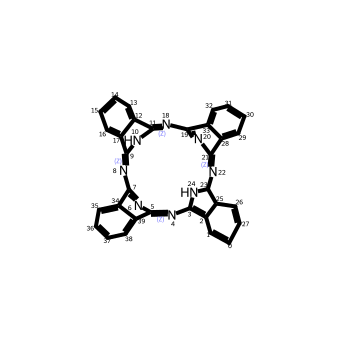 C1=CC2=C3/N=C4N=C(/N=c5\[nH]/c(c6ccccc56)=N\C5=NC(=N\C(N3)C2C=C1)/c1ccccc15)c1ccccc1\4